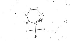 FC(I)(I)C1=NCCCCC1